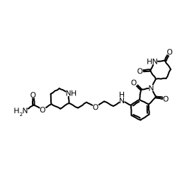 NC(=O)OC1CCNC(CCOCCNc2cccc3c2C(=O)N(C2CCC(=O)NC2=O)C3=O)C1